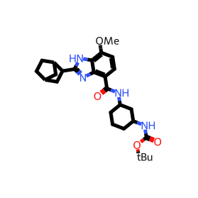 COc1ccc(C(=O)NC2CCCC(NC(=O)OC(C)(C)C)C2)c2nc(C3CC4CCC3C4)[nH]c12